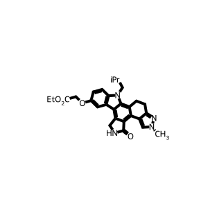 CCOC(=O)COc1ccc2c(c1)c1c3c(c4c(c1n2CC(C)C)CCc1nn(C)cc1-4)C(=O)NC3